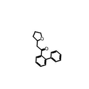 O=C(CC1CCCO1)c1ccccc1-c1ccccc1